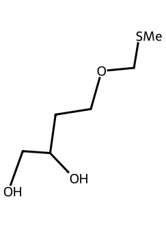 CSCOCCC(O)CO